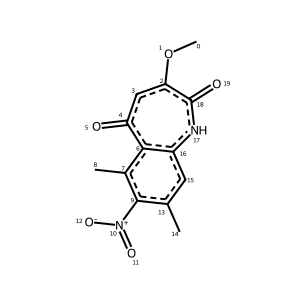 COc1cc(=O)c2c(C)c([N+](=O)[O-])c(C)cc2[nH]c1=O